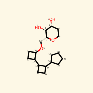 O[C@@H]1[C@H](O)CCO[C@@H]1COC1CCC1C1CCC1C1CCCC1